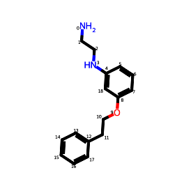 NCCNc1cccc(OCCc2ccccc2)c1